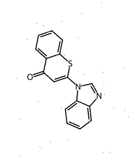 O=c1cc(-n2cnc3ccccc32)sc2ccccc12